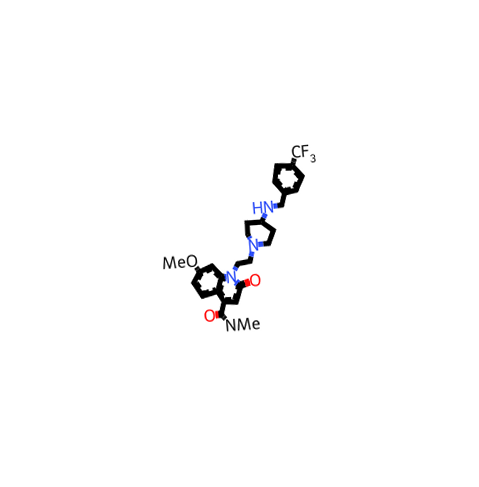 CNC(=O)c1cc(=O)n(CCN2CCC(NCc3ccc(C(F)(F)F)cc3)CC2)c2cc(OC)ccc12